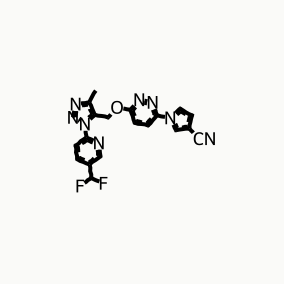 Cc1nnn(-c2ccc(C(F)F)cn2)c1COc1ccc(-n2ccc(C#N)c2)nn1